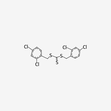 S=C(SCc1ccc(Cl)cc1Cl)SCc1ccc(Cl)cc1Cl